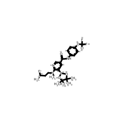 C[C@H](F)CCN(C)c1ncc(C(=O)Nc2ccc(OC(F)(F)Cl)cc2)cc1B1OC(C)(C)C(C)(C)O1